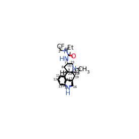 CCN(CC(F)(F)F)C(=O)N[C@H]1C[C@@H]2c3cccc4[nH]cc(c34)C[C@H]2N(C)C1